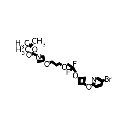 CC(C)(C)OC(=O)N1CC(OCCCOCC(F)(F)COC2CC(Oc3ccc(Br)cn3)C2)C1